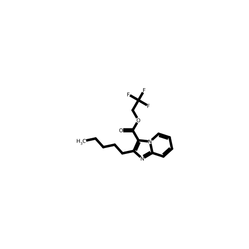 CCCCCc1nc2ccccn2c1C(=O)OCC(F)(F)F